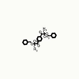 CC(C)(OCc1ccccc1)C(=O)c1ccc(C(=O)C(C)(C)OCc2ccccc2)cc1